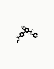 CCSC(=O)c1ccc(-c2cc(C(=O)Nc3ccncc3)ccc2CN)cc1